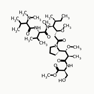 CC[C@H](C)[C@@H]([C@@H](CC(=O)N1CCC[C@H]1[C@H](OC)[C@@H](C)C(=O)N[C@@H](CO)C(=O)OC)OC)N(C)C(=O)[C@@H](NC(=O)C(C(C)C)N(C)C)C(C)C